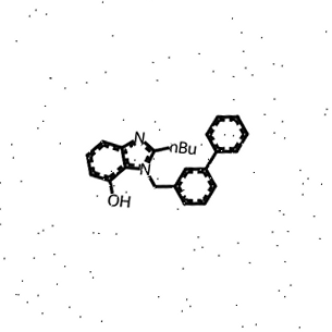 CCCCc1nc2cccc(O)c2n1Cc1cccc(-c2ccccc2)c1